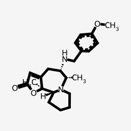 COc1ccc(CN[C@H]2CC3=CC(=O)O[C@]3(C)[C@H]3CCCCN3[C@H]2C)cc1